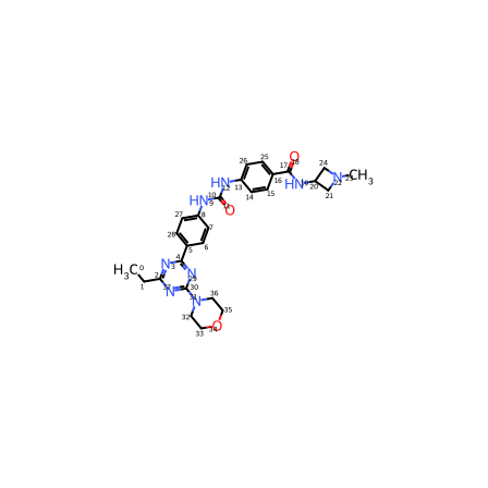 CCc1nc(-c2ccc(NC(=O)Nc3ccc(C(=O)NC4CN(C)C4)cc3)cc2)nc(N2CCOCC2)n1